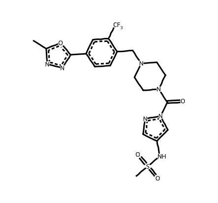 Cc1nnc(-c2ccc(CN3CCN(C(=O)n4cc(NS(C)(=O)=O)cn4)CC3)c(C(F)(F)F)c2)o1